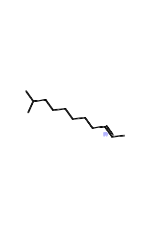 C/C=C/CCCCCCC(C)C